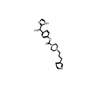 O=C(Oc1ccc(C(S)c2ncc[nH]2)cc1)N1CCN(CCCc2cccnc2)CC1